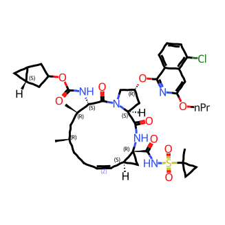 CCCOc1cc2c(Cl)cccc2c(O[C@@H]2C[C@H]3C(=O)N[C@]4(C(=O)NS(=O)(=O)C5(C)CC5)C[C@H]4/C=C\CC[C@@H](C)C[C@@H](C)[C@H](NC(=O)OC4CC5C[C@H]5C4)C(=O)N3C2)n1